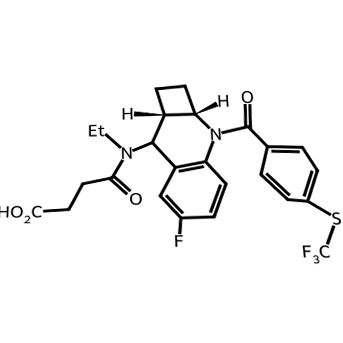 CCN(C(=O)CCC(=O)O)C1c2cc(F)ccc2N(C(=O)c2ccc(SC(F)(F)F)cc2)[C@H]2CC[C@@H]12